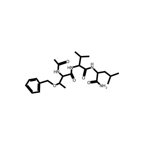 CC(=O)NC(C(=O)NC(C(=O)NC(CC(C)C)C(N)=O)C(C)C)C(C)OCc1ccccc1